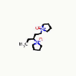 CCC(CC[N+]1([O-])CCCC1)[N+]1([O-])CCCC1